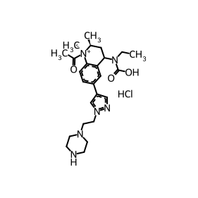 CCN(C(=O)O)C1C[C@H](C)[N@+](C)(C(C)=O)c2ccc(-c3cnn(CCN4CCNCC4)c3)cc21.Cl